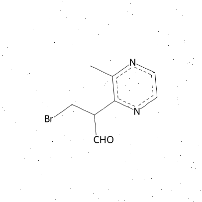 Cc1nccnc1C(C=O)CBr